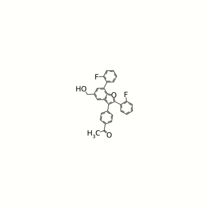 CC(=O)c1ccc(-c2c(-c3ccccc3F)oc3c(-c4ccccc4F)cc(CO)cc23)cc1